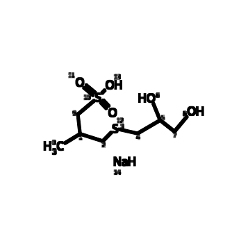 CC(CSCC(O)CO)CS(=O)(=O)O.[NaH]